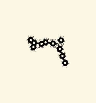 c1ccc(-c2ccc(-c3ccc(N(c4ccccc4)c4ccc(-c5ccc6cc(-c7cc8ccccc8c8ccccc78)ccc6c5)cc4)cc3)cc2)cc1